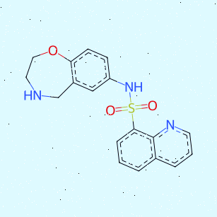 O=S(=O)(Nc1ccc2c(c1)CNCCO2)c1cccc2cccnc12